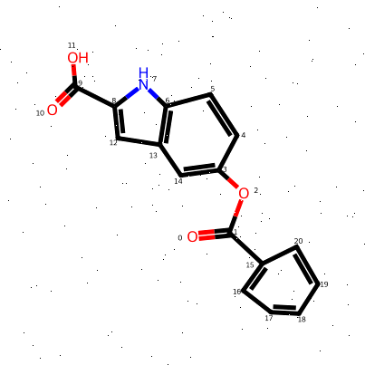 O=C(Oc1ccc2[nH]c(C(=O)O)cc2c1)c1ccccc1